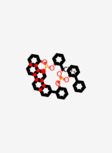 CC(OP(Oc1ccccc1-c1ccccc1)Oc1ccccc1-c1ccccc1)c1ccccc1OP(Oc1ccccc1-c1ccccc1)Oc1ccccc1-c1ccccc1